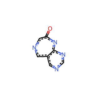 O=c1cncc2cncnc2n1